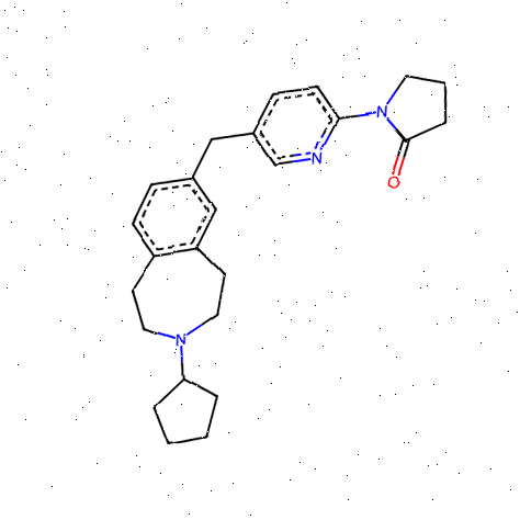 O=C1CCCN1c1ccc(Cc2ccc3c(c2)CCN(C2CCCC2)CC3)cn1